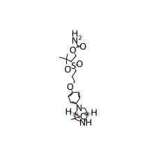 CC(C)(C)C(COC(N)=O)S(=O)(=O)CCCOc1ccc(N2C[C@H]3CNC[C@@H]2C(C)(C)C3)cc1